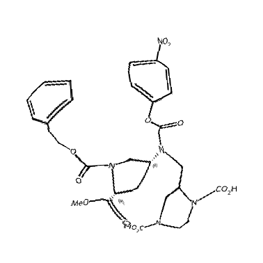 COC(=O)[C@H]1C[C@@H](N(CC2CN(C(=O)O)CCN2C(=O)O)C(=O)Oc2ccc([N+](=O)[O-])cc2)CN1C(=O)OCc1ccccc1